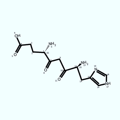 N[C@@H](CCC(=O)O)C(=O)CC(=O)[C@@H](N)Cc1c[nH]cn1